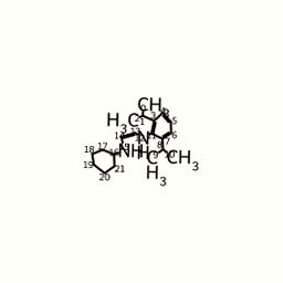 CC(C)c1cccc(C(C)C)c1N/C=C\NC1CCCCC1